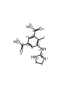 Cc1c(NC2=NCCN2)cc(C(=O)O)cc1C(=O)O